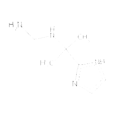 CC(C)(NCN)c1ncc[nH]1